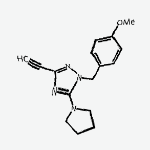 C#Cc1nc(N2CCCC2)n(Cc2ccc(OC)cc2)n1